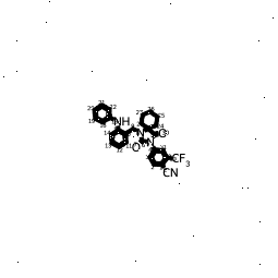 N#Cc1ccc(N2C(=O)N(Cc3ccccc3Nc3ccccc3)C3(CCCCC3)C2=O)cc1C(F)(F)F